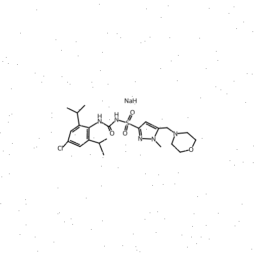 CC(C)c1cc(Cl)cc(C(C)C)c1NC(=O)NS(=O)(=O)c1cc(CN2CCOCC2)n(C)n1.[NaH]